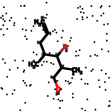 C=CCC(C)C(Br)C(C)C[O]